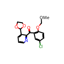 COCOc1ccc(Cl)cc1C(=O)c1ncccc1C1OCCO1